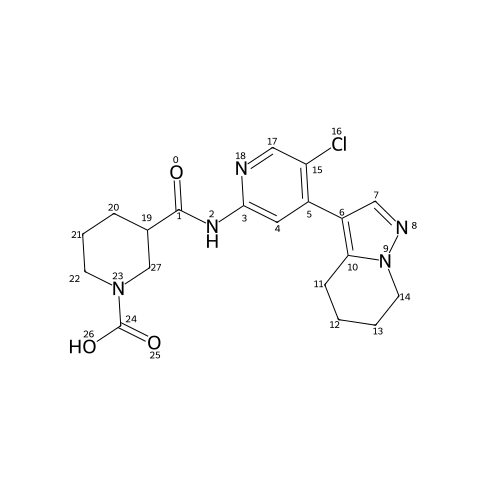 O=C(Nc1cc(-c2cnn3c2CCCC3)c(Cl)cn1)C1CCCN(C(=O)O)C1